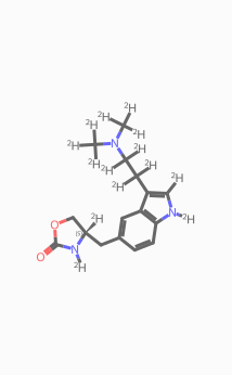 [2H]c1c(C([2H])([2H])C([2H])([2H])N(C([2H])([2H])[2H])C([2H])([2H])[2H])c2cc(C[C@@]3([2H])COC(=O)N3[2H])ccc2n1[2H]